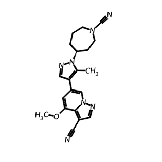 COc1cc(-c2cnn([C@H]3CCCN(C#N)CC3)c2C)cn2ncc(C#N)c12